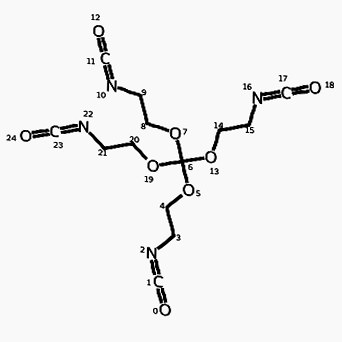 O=C=NCCOC(OCCN=C=O)(OCCN=C=O)OCCN=C=O